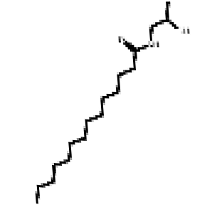 CCCCCCCCCCCCCC(=O)NCC(C)O